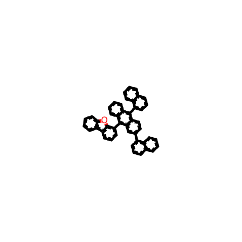 c1ccc2c(-c3ccc4c(-c5cccc6ccccc56)c5ccccc5c(-c5cccc6c5oc5ccccc56)c4c3)cccc2c1